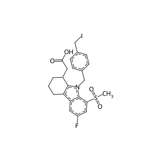 CS(=O)(=O)c1cc(F)cc2c3c(n(Cc4ccc(CI)cc4)c12)C(CC(=O)O)CCC3